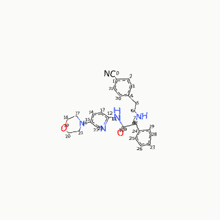 N#Cc1ccc(CCN[C@@H](C(=O)Nc2ccc(N3CCOCC3)cn2)c2ccccc2)cc1